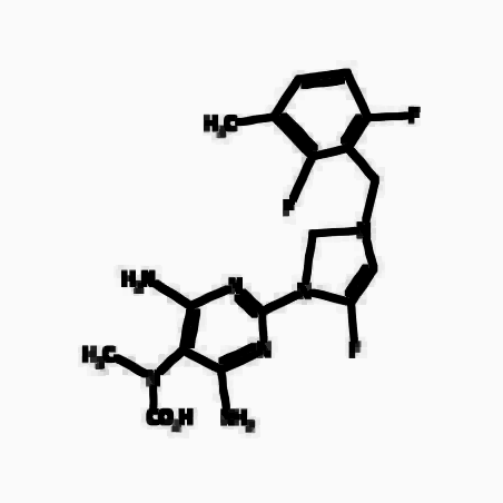 Cc1ccc(F)c(CN2C=C(F)N(c3nc(N)c(N(C)C(=O)O)c(N)n3)C2)c1F